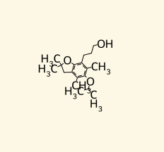 Cc1c(CCCO)c2c(c(C)c1OC(C)C)CC(C)(C)O2